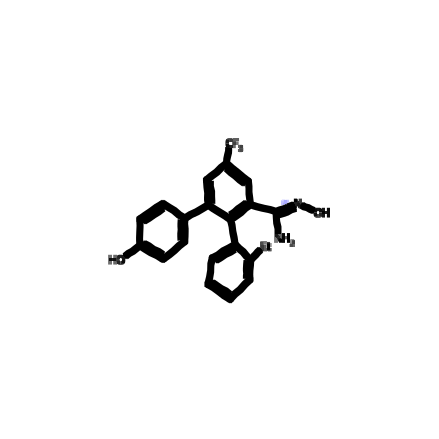 CCc1ccccc1-c1c(/C(N)=N/O)cc(C(F)(F)F)cc1-c1ccc(O)cc1